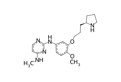 CNc1ccnc(Nc2ccc(OC)c(OCCC[C@H]3CCCN3)c2)n1